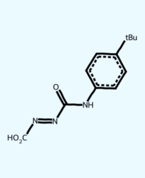 CC(C)(C)c1ccc(NC(=O)/N=N/C(=O)O)cc1